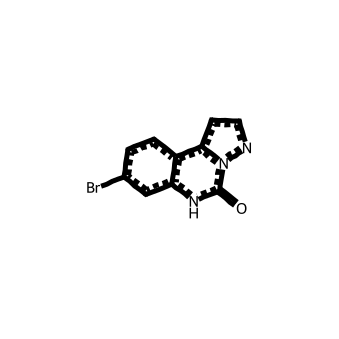 O=c1[nH]c2cc(Br)ccc2c2ccnn12